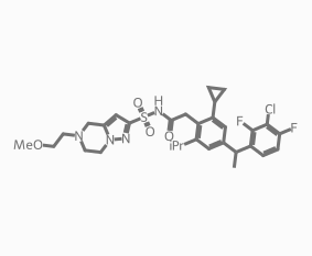 COCCN1CCn2nc(S(=O)(=O)NC(=O)Cc3c(C(C)C)cc(C(C)c4ccc(F)c(Cl)c4F)cc3C3CC3)cc2C1